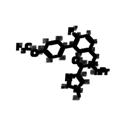 CCCN(Cc1ccc(F)c(-c2ccc(OC(F)(F)F)cc2)c1)C(=O)c1cn(C)cn1